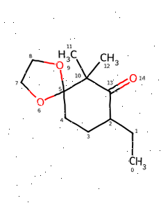 CCC1CCC2(OCCO2)C(C)(C)C1=O